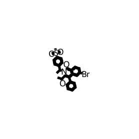 CC(=O)c1c(-c2ccccc2)c2cc(Br)ccc2c(=O)n1C(C)c1ccc(S(C)(=O)=O)cc1